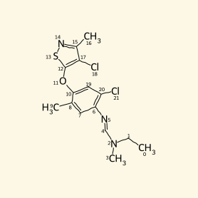 CCN(C)C=Nc1cc(C)c(Oc2snc(C)c2Cl)cc1Cl